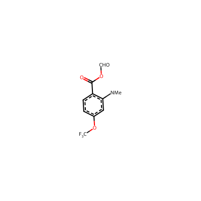 CNc1cc(OC(F)(F)F)ccc1C(=O)OC=O